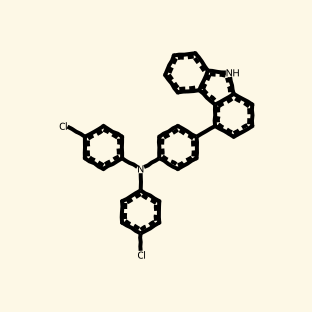 Clc1ccc(N(c2ccc(Cl)cc2)c2ccc(-c3cccc4[nH]c5ccccc5c34)cc2)cc1